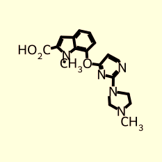 CN1CCN(c2nccc(Oc3cccc4cc(C(=O)O)n(C)c34)n2)CC1